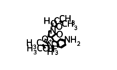 CC(C)(C)OC(=O)N1CCC(C(N[S+]([O-])C(C)(C)C)c2cc(N)ccc2F)C1=O